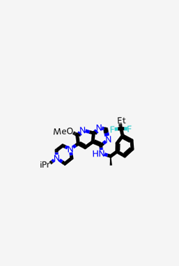 CCC(F)(F)c1cccc([C@@H](C)Nc2ncnc3nc(OC)c(N4CCN(C(C)C)CC4)cc23)c1